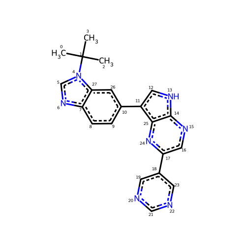 CC(C)(C)n1cnc2ccc(-c3c[nH]c4ncc(-c5cncnc5)nc34)cc21